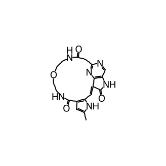 Cc1cc2c([nH]1)/C=C1\C(=O)Nc3cnc(nc31)CC(=O)NCCOCCNC2=O